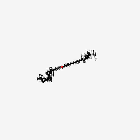 Cc1cc(C(=O)NCCOCCOCCOCCOCCOCCOCCNC(=O)c2cccc(-c3cc(Nc4ccc(OC(F)(F)F)cc4)ncn3)c2)ccc1B(O)O